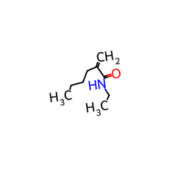 C=C(CCCC)C(=O)NCC